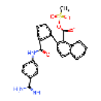 CS(=O)(=O)OC(=O)c1c(-c2ccccc2C(=O)Nc2ccc(C(=N)N)cc2)ccc2ccccc12